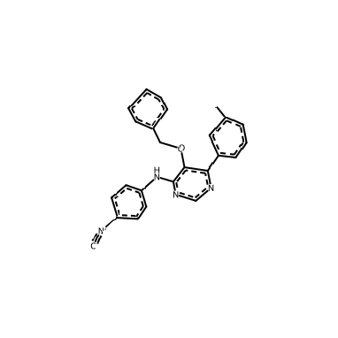 [C-]#[N+]c1ccc(Nc2ncnc(-c3cccc(C)c3)c2OCc2ccccc2)cc1